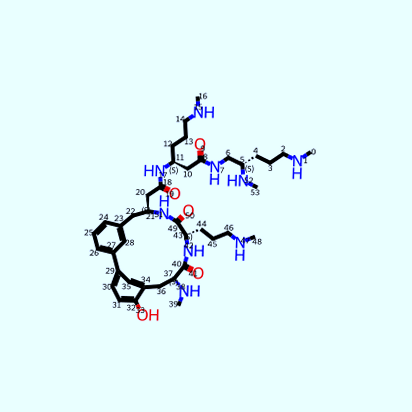 CNCCC[C@@H](CNC(=O)C[C@H](CCCNC)NC(=O)C[C@@H]1Cc2cccc(c2)-c2ccc(O)c(c2)C[C@H](NC)C(=O)N[C@@H](CCCNC)C(=O)N1)NC